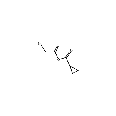 O=C(CBr)OC(=O)C1CC1